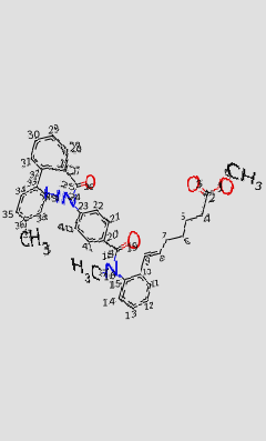 COC(=O)CCCCC=Cc1ccccc1N(C)C(=O)c1ccc(NC(=O)c2ccccc2-c2ccc(C)cc2)cc1